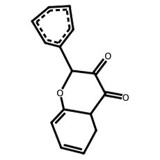 O=C1C(=O)C(c2ccccc2)OC2=CC=CCC12